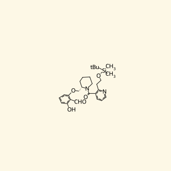 CC(C)(C)[Si](C)(C)OCCc1ncccc1C(=O)N1CCCC[C@H]1COc1cccc(O)c1C=O